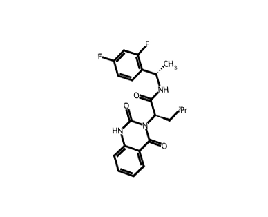 CC(C)C[C@H](C(=O)N[C@@H](C)c1ccc(F)cc1F)n1c(=O)[nH]c2ccccc2c1=O